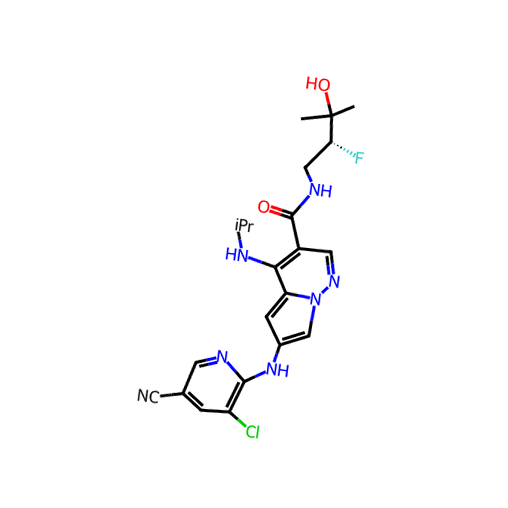 CC(C)Nc1c(C(=O)NC[C@@H](F)C(C)(C)O)cnn2cc(Nc3ncc(C#N)cc3Cl)cc12